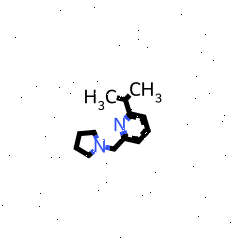 CC(C)c1cccc(CN2CCCC2)n1